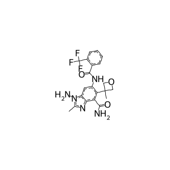 Cc1nc2c(C(N)=O)c(C3(C)COC3)c(NC(=O)c3ccccc3C(F)(F)F)cc2n1N